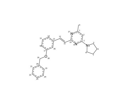 Cc1cc(N2CCCC2)nc(C=Cc2cccc(OCc3ccccc3)c2)n1